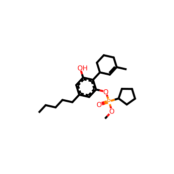 CCCCCc1cc(O)c(C2C=C(C)CCC2)c(OP(=O)(OC)C2CCCC2)c1